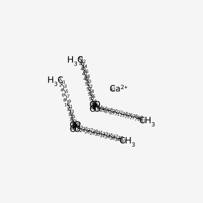 CCCCCCCCCCCCCCCCCCOP(=O)([O-])OCCCCCCCCCCCCCCCCCC.CCCCCCCCCCCCCCCCCCOP(=O)([O-])OCCCCCCCCCCCCCCCCCC.[Ca+2]